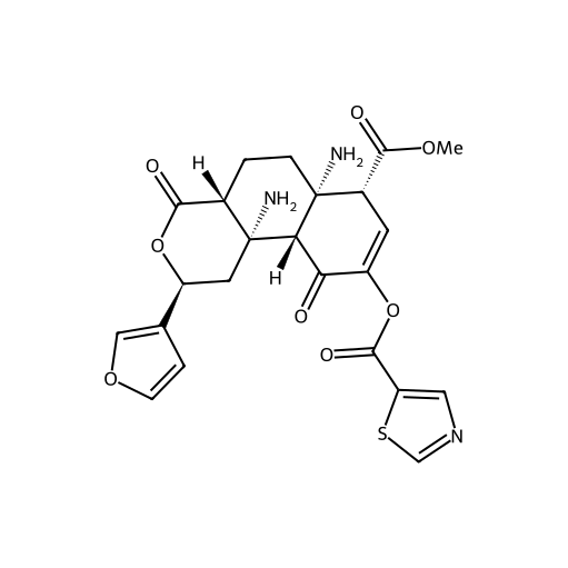 COC(=O)[C@@H]1C=C(OC(=O)c2cncs2)C(=O)[C@H]2[C@@]1(N)CC[C@H]1C(=O)O[C@H](c3ccoc3)C[C@]21N